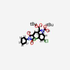 CC(C)(C)OC(=O)c1c(C=C2CC(=O)N(c3ccccc3)C2=O)c2c(Cl)cc(Cl)cc2n1C(=O)OC(C)(C)C